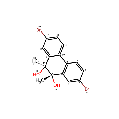 C[C@]1(O)c2cc(Br)ccc2-c2ccc(Br)cc2[C@]1(C)O